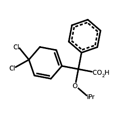 CC(C)OC(C(=O)O)(C1=CCC(Cl)(Cl)C=C1)c1ccccc1